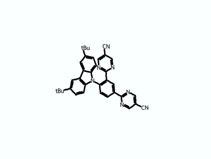 CC(C)(C)c1ccc2c(c1)c1cc(C(C)(C)C)ccc1n2-c1ccc(-c2ncc(C#N)cn2)cc1-c1ncc(C#N)cn1